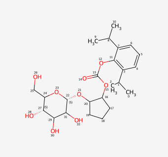 CC(C)c1cccc(C(C)C)c1OC(=O)OC1CCCC1O[C@H]1OC(CO)[C@@H](O)C(O)C1O